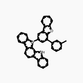 Cc1cccc(-c2cc(-n3c4ccccc4c4ccc5c6ccccc6[nH]c5c43)cc3c2oc2ccccc23)c1